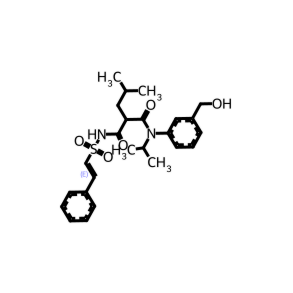 CC(C)CC(C(=O)NS(=O)(=O)/C=C/c1ccccc1)C(=O)N(c1cccc(CO)c1)C(C)C